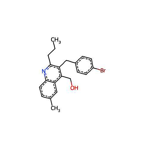 CCCc1nc2ccc(C)cc2c(CO)c1Cc1ccc(Br)cc1